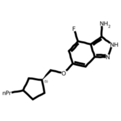 CCCC1CC[C@H](COc2cc(F)c3c(N)[nH]nc3c2)C1